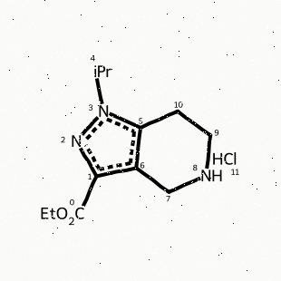 CCOC(=O)c1nn(C(C)C)c2c1CNCC2.Cl